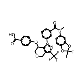 CN(C(=O)c1cccc(-n2nc(C(F)(F)F)c3c2C(Oc2ccc(C(=O)O)cc2)COC3)c1)c1ccc2c(c1)OC(F)(F)O2